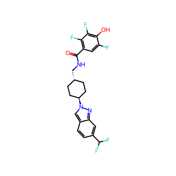 O=C(NC[C@H]1CC[C@H](n2cc3ccc(C(F)F)cc3n2)CC1)c1cc(F)c(O)c(F)c1F